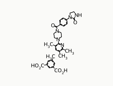 Cc1cc(C(=O)O)cc(C(=O)O)c1.Cc1cc(C)c(N2CCN(C(=O)c3ccc(N4CCNC4=O)cc3)CC2)nc1C